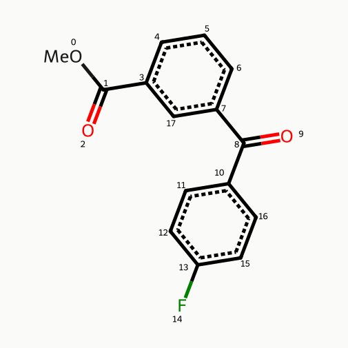 COC(=O)c1cccc(C(=O)c2ccc(F)cc2)c1